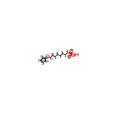 O=S(=O)(O)CCCCCCCCOc1ccsc1